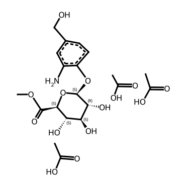 CC(=O)O.CC(=O)O.CC(=O)O.COC(=O)[C@H]1O[C@@H](Oc2ccc(CO)cc2N)[C@H](O)[C@@H](O)[C@@H]1O